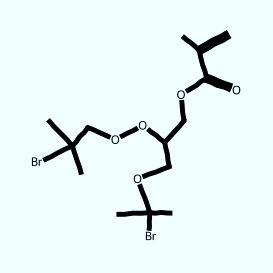 C=C(C)C(=O)OCC(COC(C)(C)Br)OOCC(C)(C)Br